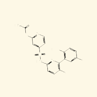 Cc1ccc(F)cc1-c1nc(NS(=O)(=O)c2ccnc(OC(N)=O)c2)ccc1Cl